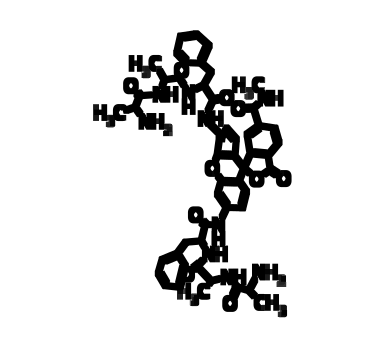 CNC(=O)c1ccc2c(c1)C1(OC2=O)c2ccc(NC(=O)C(Cc3ccccc3)NC(=O)C(C)NC(=O)C(C)N)cc2Oc2cc(NC(=O)C(Cc3ccccc3)NC(=O)C(C)NC(=O)C(C)N)ccc21